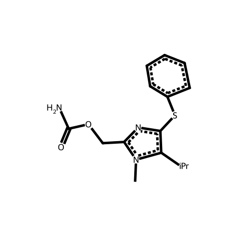 CC(C)c1c(Sc2ccccc2)nc(COC(N)=O)n1C